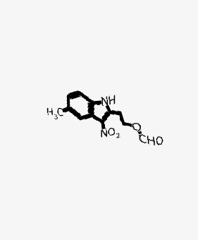 Cc1ccc2[nH]c(CCOC=O)c([N+](=O)[O-])c2c1